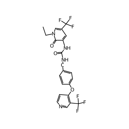 CCn1cc(C(F)(F)F)cc(NC(=O)NCc2ccc(Oc3ccncc3C(F)(F)F)cc2)c1=O